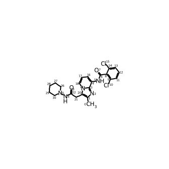 Cc1nc2c(NC(=O)c3c(Cl)cccc3Cl)cccn2c1CC(=O)NN1CCCCC1